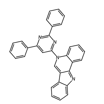 c1ccc(-c2cc(-n3cc4c5ccccc5nc-4c4ccccc43)nc(-c3ccccc3)n2)cc1